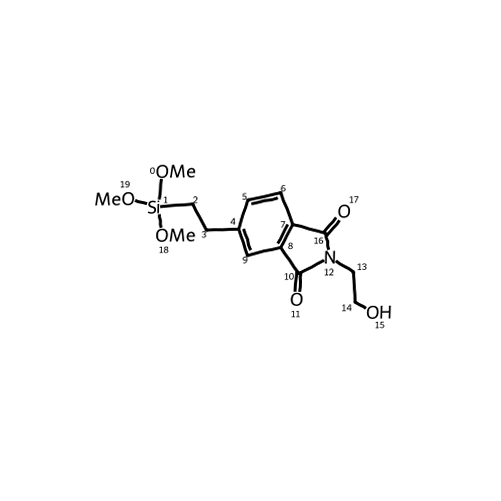 CO[Si](CCc1ccc2c(c1)C(=O)N(CCO)C2=O)(OC)OC